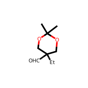 CCC1(C=O)COC(C)(C)OC1